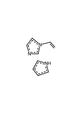 C=Cn1ccnc1.c1cc[nH]c1